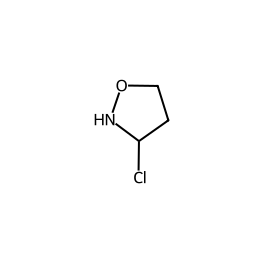 ClC1CCON1